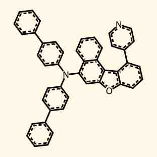 c1ccc(-c2ccc(N(c3ccc(-c4ccccc4)cc3)c3cc4oc5cccc(-c6ccncc6)c5c4c4ccccc34)cc2)cc1